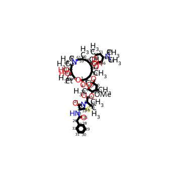 CC[C@H]1OC(=O)[C@H](C)[C@@H](O[C@H]2C[C@@](C)(OC)[C@@H](OC(=O)C3N4C(=O)C(NC(=O)Cc5ccccc5)C4SC3(C)C)[C@H](C)O2)[C@H](C)[C@@H](O[C@H]2C[C@@H](N(C)C)C[C@@H](C)O2)[C@](C)(O)C[C@@H](C)CN(C)[C@H](C)[C@@H](O)[C@]1(C)O